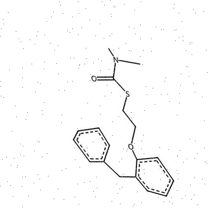 CN(C)C(=O)SCCOc1ccccc1Cc1ccccc1